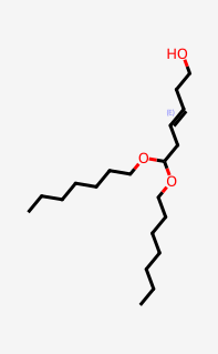 CCCCCCCOC(C/C=C/CCO)OCCCCCCC